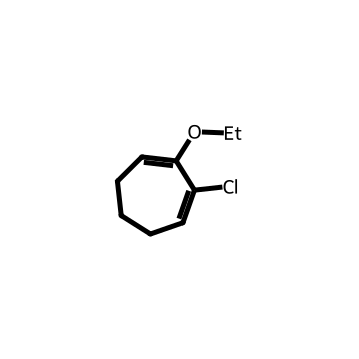 CCOC1=CCCCC=C1Cl